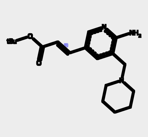 CC(C)(C)OC(=O)/C=C/c1cnc(N)c(CN2CCCCC2)c1